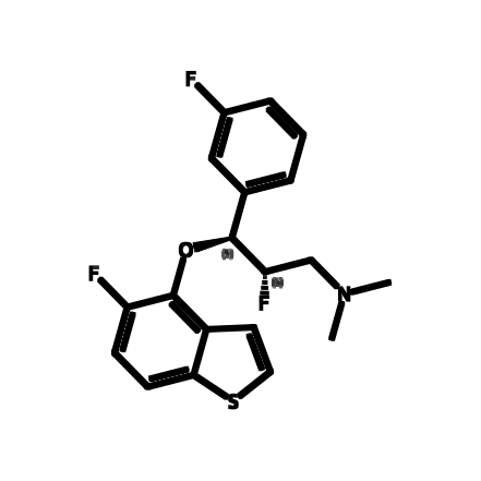 CN(C)C[C@H](F)[C@@H](Oc1c(F)ccc2sccc12)c1cccc(F)c1